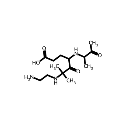 CC(=O)C(C)NC(CCC(=O)O)C(=O)C(C)(C)NCCN